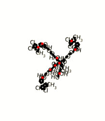 CN1Cc2c(Cl)cc(Cl)cc2[C@H](c2cccc(S(=O)(=O)NCCOCCOCCNC(=O)CCC(CCC(=O)NCCOCCOCCNS(=O)(=O)c3cccc([C@@H]4CN(C)Cc5c(Cl)cc(Cl)cc54)c3)(CCC(=O)NCCOCCOCCNS(=O)(=O)c3cccc([C@@H]4CN(C)Cc5c(Cl)cc(Cl)cc54)c3)NC(=O)N(C)C[C@H](O)[C@@H](O)[C@H](O)[C@H](O)CO)c2)C1